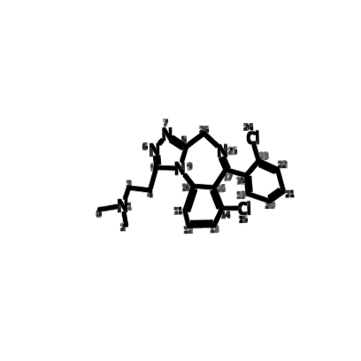 CN(C)CCc1nnc2n1-c1cccc(Cl)c1C(c1ccccc1Cl)=NC2